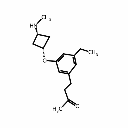 CCc1cc(CCC(C)=O)cc(O[C@H]2C[C@H](NC)C2)c1